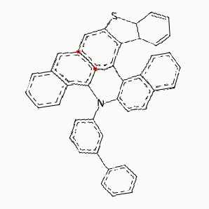 C1=CC2Sc3cccc(-c4c(N(c5cccc(-c6ccccc6)c5)c5cccc6ccccc56)ccc5ccccc45)c3C2C=C1